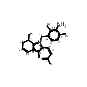 C=C(C)/C=C\c1c(C)c2c(n1Cc1ccc(C)c(N)c1C)C(C)CC=C2